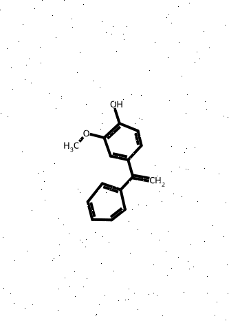 C=C(c1ccccc1)c1ccc(O)c(OC)c1